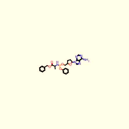 CC(NP(OCC1CCC(n2cnc3c(N)ncnc32)O1)Oc1ccccc1)C(=O)OCc1ccccc1